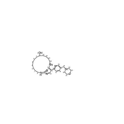 OC1CCCCCCCNc2ncc(-c3ccc(CN4CCOCC4)cn3)c(n2)NCCCC1